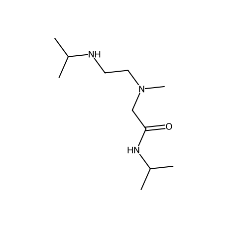 CC(C)NCCN(C)CC(=O)NC(C)C